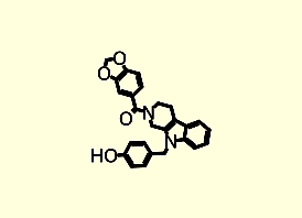 O=C(c1ccc2c(c1)OCO2)N1CCc2c(n(Cc3ccc(O)cc3)c3ccccc23)C1